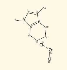 C[C]1C=C(C)C2=C1CCCC2.[Cl][Zr][Cl]